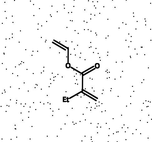 C=COC(=O)C(=C)CC